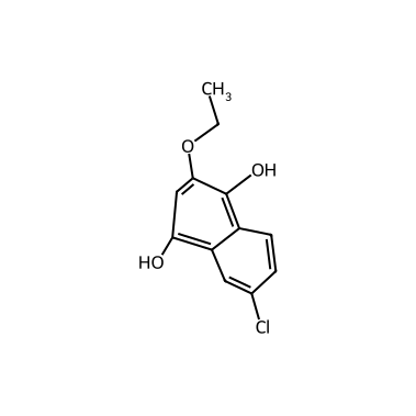 CCOc1cc(O)c2cc(Cl)ccc2c1O